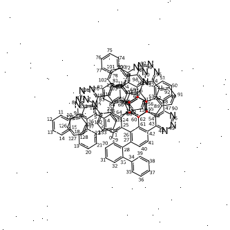 Cc1c(C)c(-c2nnnc(-c3ccccc3)c2-c2ccccc2)c2c(c1-c1c(-c3ccccc3-c3ccccc3)ccc(-c3nnnc(-c4ccccc4)c3-c3ccccc3)c1-c1c(C)c(C)c(-c3nnnc(-c4ccccc4)c3-c3ccccc3)c3c1Cc1cccc(-c4nnnc(-c5ccccc5)c4-c4ccccc4)c1-3)Cc1cccc(-c3nnnc(-c4ccccc4)c3-c3ccccc3)c1-2